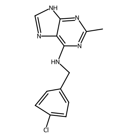 Cc1nc(NCc2ccc(Cl)cc2)c2nc[nH]c2n1